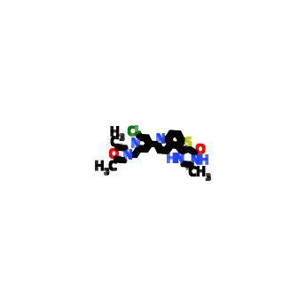 C[C@@H]1CNc2c(sc3ccc4nc(-c5cc(Cl)nc(CN6C[C@@H](C)O[C@H](C)C6)c5)ccc4c23)C(=O)N1